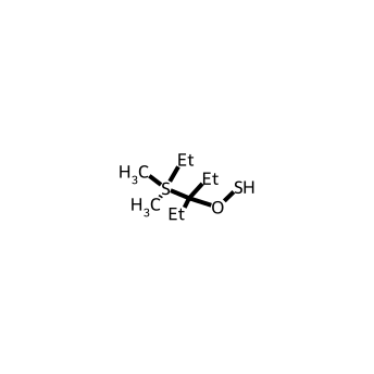 CCC(CC)(OS)S(C)(C)CC